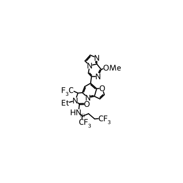 CCN(C(=O)N[C@@H](CCC(F)(F)F)C(F)(F)F)C(c1cc(-c2cn3ccnc3c(OC)n2)c2occc2n1)C(F)(F)F